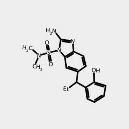 CCC(c1ccc2nc(N)n(S(=O)(=O)N(C)C)c2c1)c1ccccc1O